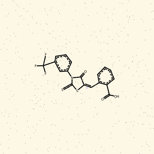 O=C(O)c1ccccc1/C=C1/SC(=S)N(c2cccc(C(F)(F)F)c2)C1=O